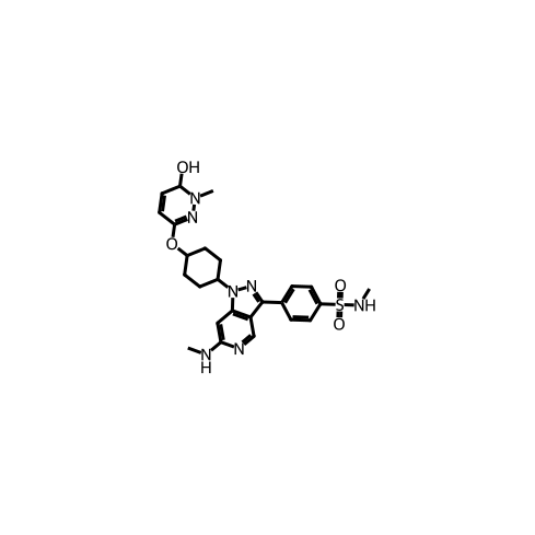 CNc1cc2c(cn1)c(-c1ccc(S(=O)(=O)NC)cc1)nn2C1CCC(OC2=NN(C)C(O)C=C2)CC1